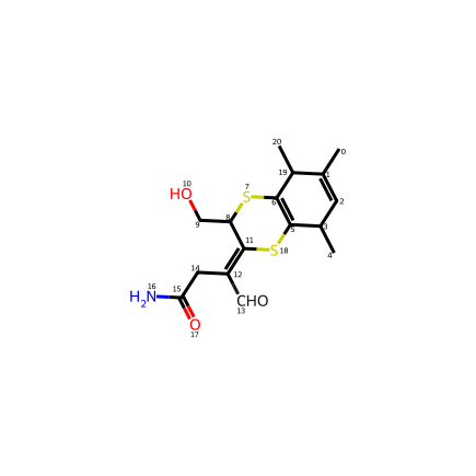 CC1=CC(C)C2=C(SC(CO)/C(=C(/C=O)CC(N)=O)S2)C1C